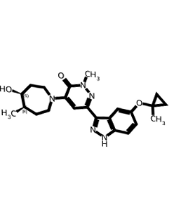 C[C@@H]1CCN(c2cc(-c3n[nH]c4ccc(OC5(C)CC5)cc34)nn(C)c2=O)CC[C@@H]1O